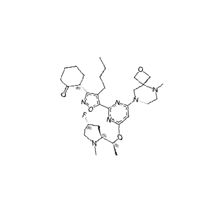 CCCCc1c([C@H]2CCCCC2=O)noc1-c1nc(O[C@@H](C)[C@@H]2C[C@@H](F)CN2C)cc(N2CCN(C)C3(COC3)C2)n1